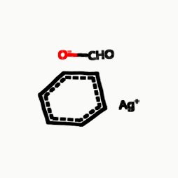 O=C[O-].[Ag+].c1ccccc1